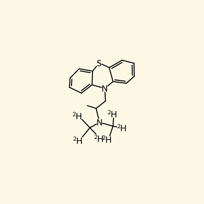 [2H]C([2H])([2H])N(C(C)CN1c2ccccc2Sc2ccccc21)C([2H])([2H])[2H]